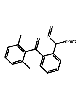 CCCCCC(P=O)c1ccccc1C(=O)c1c(C)cccc1C